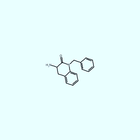 NC1Cc2ccccc2N(Cc2ccccc2)C1=O